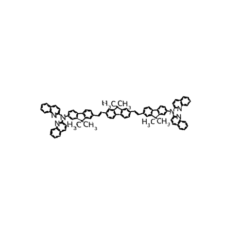 CC1(C)c2cc(/C=C/c3ccc4c(c3)C(C)(C)c3cc(N(c5ccc6ccccc6n5)c5ccc6ccccc6n5)ccc3-4)ccc2-c2ccc(/C=C/c3ccc4c(c3)C(C)(C)c3cc(N(c5ccc6ccccc6n5)c5ccc6ccccc6n5)ccc3-4)cc21